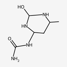 CC1CC(NC(N)=O)NC(O)N1